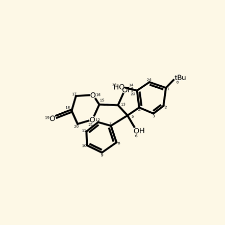 CC(C)(C)c1ccc(C(O)(c2ccccc2)C(O)C2OCC(=O)CO2)c(O)c1